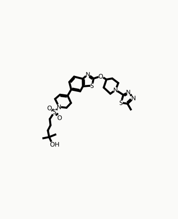 Cc1nnc(N2CCC(Oc3nc4ccc(C5=CCN(S(=O)(=O)CCCC(C)(C)O)CC5)cc4s3)CC2)s1